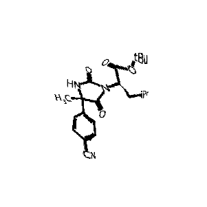 CC(C)C[C@H](C(=O)OC(C)(C)C)N1C(=O)N[C@@](C)(c2ccc(C#N)cc2)C1=O